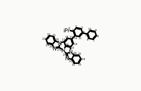 CC(C)c1ccc(-c2ccccc2)cc1-c1cc2c3c(c1)n1c4ccccc4nc1n3c1nc3ccccc3n21